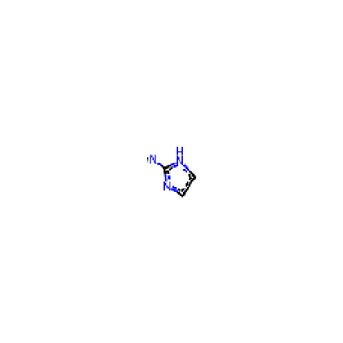 [N]c1ncc[nH]1